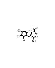 O=C(O)[C@H]1Cc2c(cc(Cl)c(Cl)c2Cl)O[C@H]1C(F)C(F)F